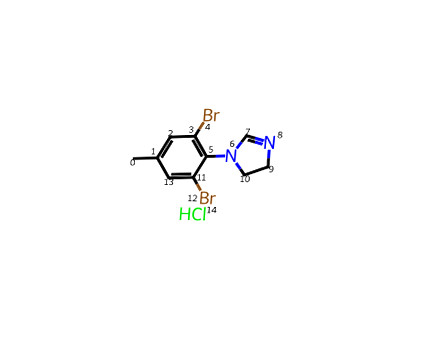 Cc1cc(Br)c(N2C=NCC2)c(Br)c1.Cl